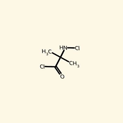 CC(C)(NCl)C(=O)Cl